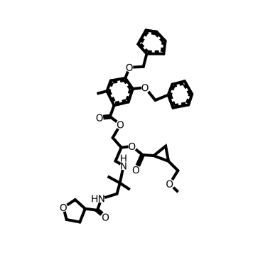 COCC1CC1C(=O)OC(CNC(C)(C)CNC(=O)C1CCOC1)COC(=O)c1cc(OCc2ccccc2)c(OCc2ccccc2)cc1C